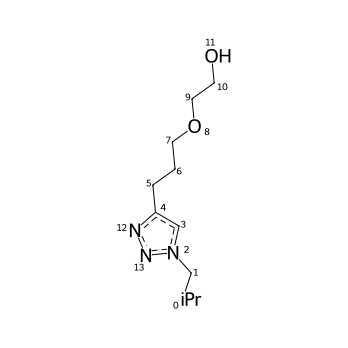 CC(C)Cn1cc(CCCOCCO)nn1